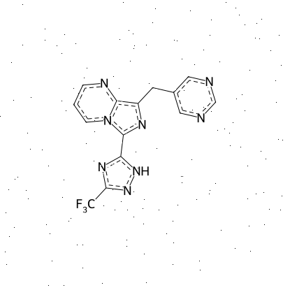 FC(F)(F)c1n[nH]c(-c2nc(Cc3cncnc3)c3ncccn23)n1